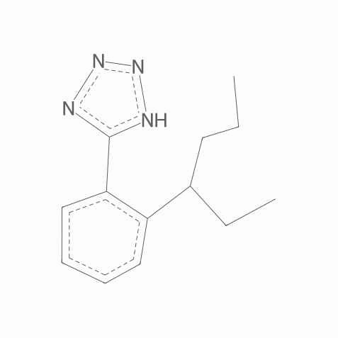 CCCC(CC)c1ccccc1-c1nnn[nH]1